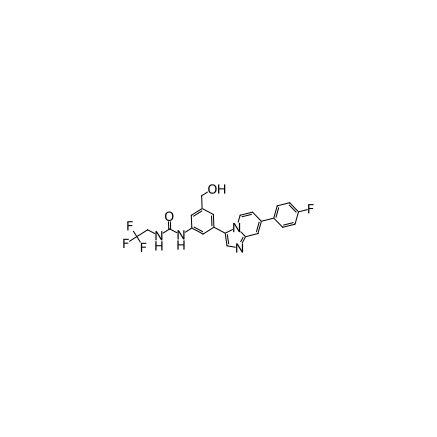 O=C(NCC(F)(F)F)Nc1cc(CO)cc(-c2cnc3cc(-c4ccc(F)cc4)ccn23)c1